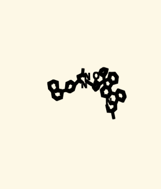 Cc1ccnc(-c2ccccc2-c2cccc3c2-c2ccccc2C32c3ccccc3Oc3c(-c4nc(C)cc(-c5ccc(-c6cccc7ccccc67)cc5)n4)cccc32)c1